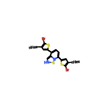 CCCCCCc1cc(C2=CC=C(c3cc(CCCCCC)c(Br)s3)N3SNC=C23)sc1Br